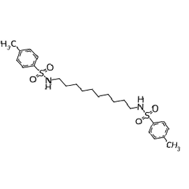 Cc1ccc(S(=O)(=O)NCCCCCCCCCCNS(=O)(=O)c2ccc(C)cc2)cc1